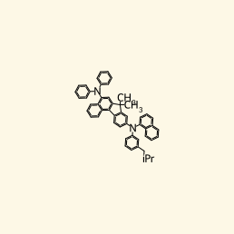 CC(C)Cc1cccc(N(c2ccc3c(c2)C(C)(C)c2cc(N(c4ccccc4)c4ccccc4)c4ccccc4c2-3)c2cccc3ccccc23)c1